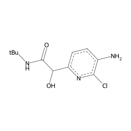 CC(C)(C)NC(=O)C(O)c1ccc(N)c(Cl)n1